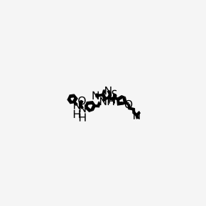 CN(C)CCCOc1ccc(-c2nc3c(NCCc4ccc(NC(=O)Nc5ccccc5)cc4)c(C#N)cnc3s2)cc1